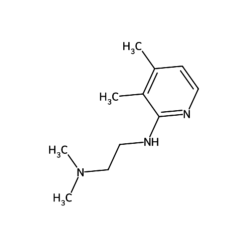 Cc1ccnc(NCCN(C)C)c1C